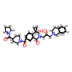 O=C(c1ccc2c(c1)C(=O)N(C[C@H](O)CN1CCc3ccccc3C1)CC21CC1)N1CCC(C(=O)N2CCCC2)CC1